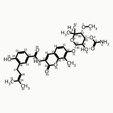 CO[C@@H]1[C@H](OC(N)=O)C(O)[C@H](Oc2ccc3cc(NC(=O)c4ccc(O)c(CC=C(C)C)c4)c(=O)oc3c2C)OC1(C)C